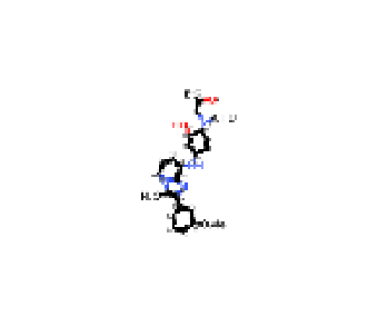 CCC(=O)CN(C=O)c1ccc(Nc2cccn3c(C)c(-c4cccc(OC)c4)nc23)cc1O